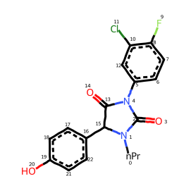 CCCN1C(=O)N(c2ccc(F)c(Cl)c2)C(=O)C1c1ccc(O)cc1